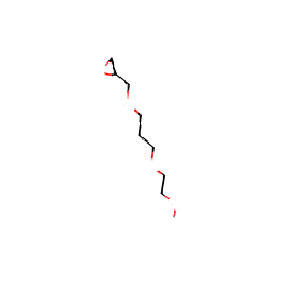 CCCCOCCOCCCOCC1CO1